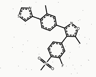 Cc1cc(-c2noc(C)c2-c2ccc(S(C)(=O)=O)c(F)c2)ccc1-c1cscn1